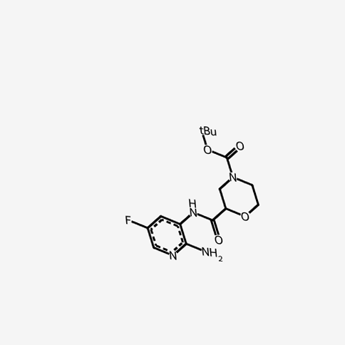 CC(C)(C)OC(=O)N1CCOC(C(=O)Nc2cc(F)cnc2N)C1